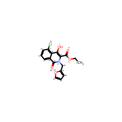 CCOC(=O)c1c(O)c2c(Cl)cccc2c(=O)n1Cc1ccco1